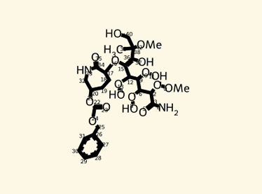 COOC(C(N)=O)C(OO)C(OO)C(OO)/C(OC1CCC(OC(=O)OCc2ccccc2)CNC1=O)=C(\O)C(C)(CO)OC